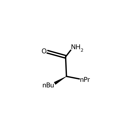 CCCC[C@H](CCC)C(N)=O